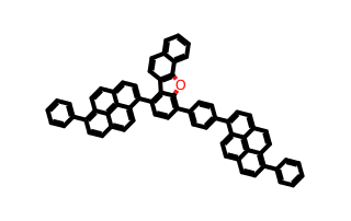 c1ccc(-c2ccc3ccc4c(-c5ccc(-c6ccc(-c7ccc8ccc9c(-c%10ccccc%10)ccc%10ccc7c8c%109)c7c6oc6c8ccccc8ccc67)cc5)ccc5ccc2c3c54)cc1